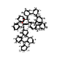 c1ccc(-c2ccccc2N(c2ccc3c(c2)-c2ccccc2N(c2ccccc2)c2ccccc2-3)c2ccc3c4ccccc4c4ccccc4c4ccccc4c4c(ccc5sc6ccccc6c54)c3c2)cc1